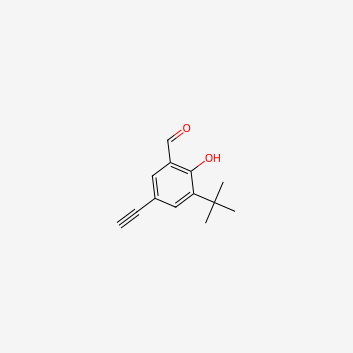 C#Cc1cc(C=O)c(O)c(C(C)(C)C)c1